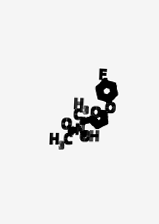 CC(=O)N(O)C(C)c1ccc(Oc2ccc(F)cc2)o1